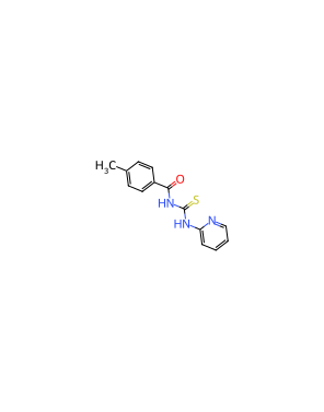 Cc1ccc(C(=O)NC(=S)Nc2ccccn2)cc1